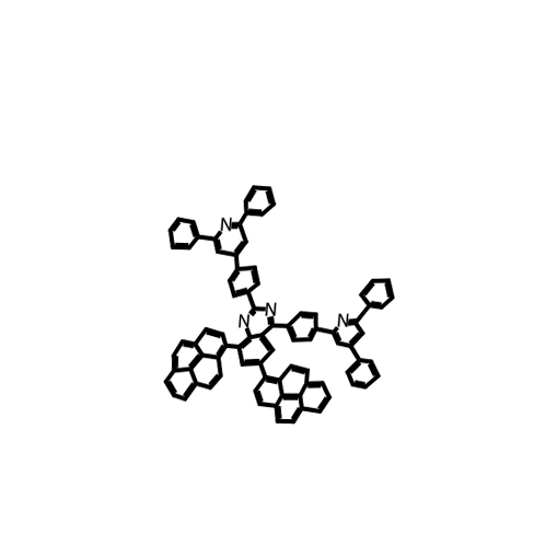 c1ccc(-c2cc(-c3ccccc3)nc(-c3ccc(-c4nc(-c5ccc(-c6cc(-c7ccccc7)nc(-c7ccccc7)c6)cc5)nc5c(-c6ccc7ccc8cccc9ccc6c7c89)cc(-c6ccc7ccc8cccc9ccc6c7c89)cc45)cc3)c2)cc1